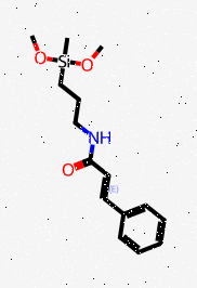 CO[Si](C)(CCCNC(=O)/C=C/c1ccccc1)OC